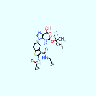 CC(C)(C)OC(=O)Nc1c(C(=O)O)ncn1[C@H]1CCc2sc(NC(=O)C3CC3)c(C(=O)NCC3CC3)c2C1